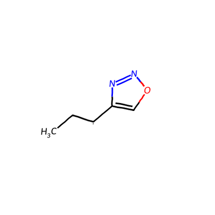 CC[CH]c1conn1